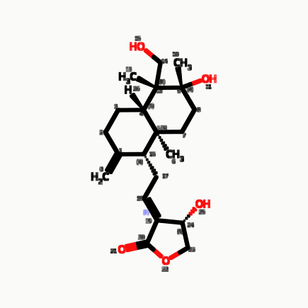 C=C1CC[C@H]2[C@@](C)(CC[C@@](C)(O)[C@@]2(C)CO)[C@@H]1C/C=C1/C(=O)OC[C@H]1O